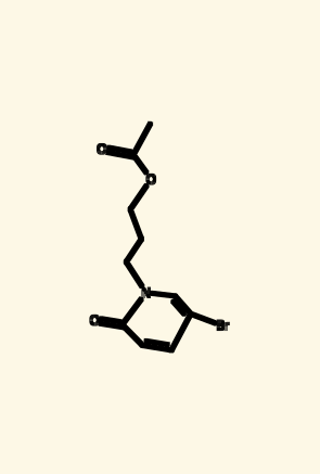 CC(=O)OCCCn1cc(Br)ccc1=O